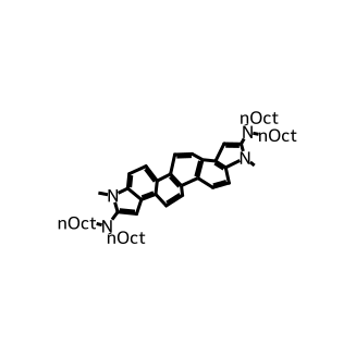 CCCCCCCCN(CCCCCCCC)c1cc2c3ccc4c(ccc5c4ccc4c5cc(N(CCCCCCCC)CCCCCCCC)n4C)c3ccc2n1C